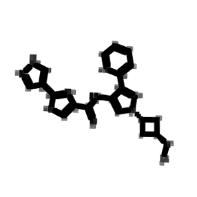 CCO[C@H]1C[C@H](n2cc(NC(=O)c3coc(-c4cn[nH]c4)n3)c(-c3ccccn3)n2)C1